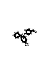 N#CC1CC2CC(Oc3ccc(C=S)cc3)C(C1)N2Cc1ccccc1